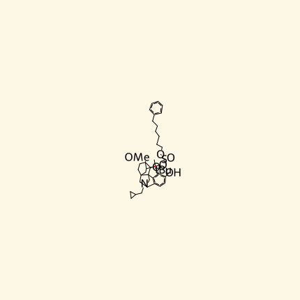 COC12CCC3(CC1C(C)(OS(=O)OCCCCCCc1ccccc1)C(C)(C)C)C1Cc4ccc(O)c5c4C3(CCN1CC1CC1)C2O5